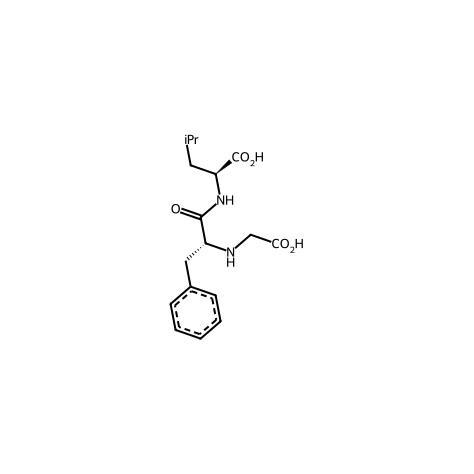 CC(C)C[C@H](NC(=O)[C@@H](Cc1ccccc1)NCC(=O)O)C(=O)O